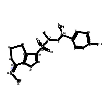 CN(C[C@H](O)c1ccc(F)cc1)S(=O)(=O)c1csc2c1CCC/C2=N/O